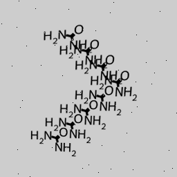 NC(N)=O.NC(N)=O.NC(N)=O.NC(N)=O.NC(N)=O.NC(N)=O.NC(N)=O.NC(N)=O